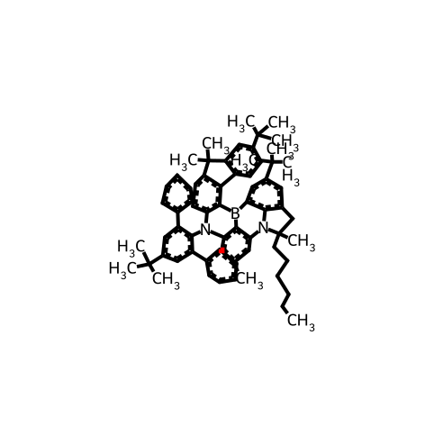 CCCCCCC1(C)Cc2cc(C(C)(C)C)cc3c2N1c1cc(C)cc2c1B3c1c(ccc3c1-c1ccc(C(C)(C)C)cc1C3(C)C)N2c1c(-c2ccccc2)cc(C(C)(C)C)cc1-c1ccccc1